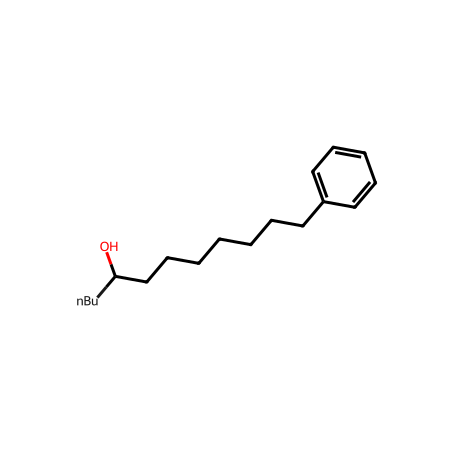 CCCCC(O)CCCCCCCc1ccccc1